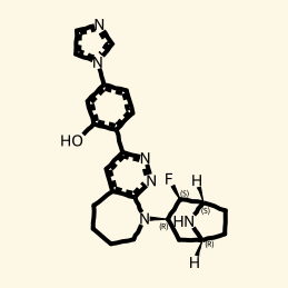 Oc1cc(-n2ccnc2)ccc1-c1cc2c(nn1)N([C@@H]1C[C@H]3CC[C@H](N3)[C@@H]1F)CCCC2